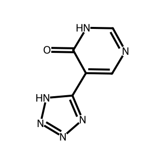 O=c1[nH]cncc1-c1nnn[nH]1